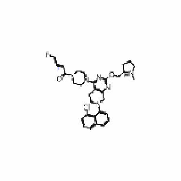 CN1CCC[C@@H]1COc1nc2c(c(N3CCN(C(=O)/C=C/CF)CC3)n1)CCN(c1cccc3cccc(Cl)c13)C2